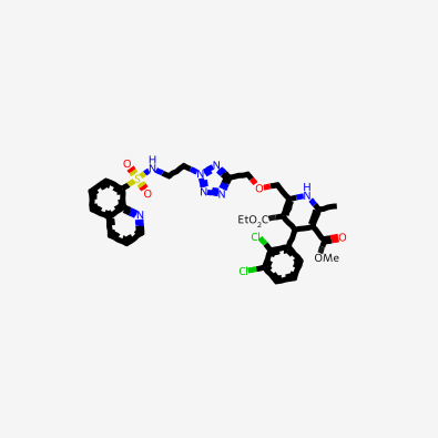 CCOC(=O)C1=C(COCc2nnn(CCNS(=O)(=O)c3cccc4cccnc34)n2)NC(C)=C(C(=O)OC)C1c1cccc(Cl)c1Cl